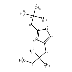 CCC(C)(C)Cc1coc(CC(C)(C)C)n1